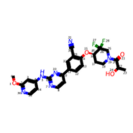 COc1cc(Nc2nccc(-c3ccc(O[C@@H]4CCN(C(=O)C(C)O)CC4(F)F)c(C#N)c3)n2)ccn1